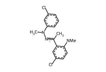 CNc1ccc(Cl)cc1/C(C)=N/N(C)c1cccc(Cl)c1